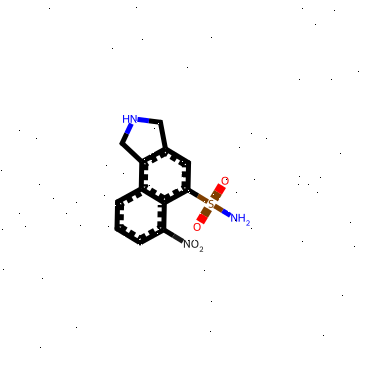 NS(=O)(=O)c1cc2c(c3cccc([N+](=O)[O-])c13)CNC2